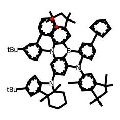 Cc1cc2c(cc1N1c3ccc(-c4ccccc4)cc3B3c4cc5c(cc4N(c4ccc(C(C)(C)C)cc4-c4ccccc4)c4cc(N6c7ccc(C(C)(C)C)cc7C7(C)CCCCC67C)cc1c43)C(C)(C)CC5(C)C)C(C)(C)CC2(C)C